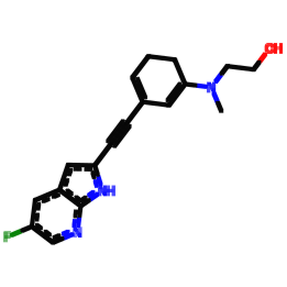 CN(CCO)C1=CC(C#Cc2cc3cc(F)cnc3[nH]2)=CCC1